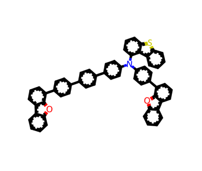 c1ccc2c(c1)oc1c(-c3ccc(-c4ccc(-c5ccc(N(c6ccc(-c7cccc8c7oc7ccccc78)cc6)c6cccc7sc8ccccc8c67)cc5)cc4)cc3)cccc12